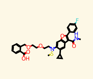 CNC(=O)c1c(-c2ccc(F)cc2)oc2cc(N(CCOCCOCc3ccccc3C(=O)O)SC)c(C3CC3)cc12